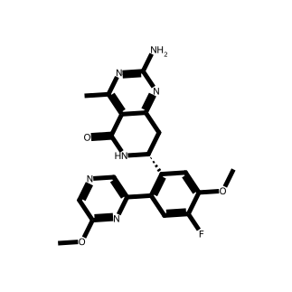 COc1cncc(-c2cc(F)c(OC)cc2[C@H]2Cc3nc(N)nc(C)c3C(=O)N2)n1